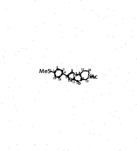 CSc1ccc(-c2cn3c4c(sc3n2)CN(C(C)=O)CC4)cc1